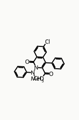 COC(=O)c1c(-c2ccccc2)c2cc(Cl)ccc2c(=O)n1N(C)c1ccccc1